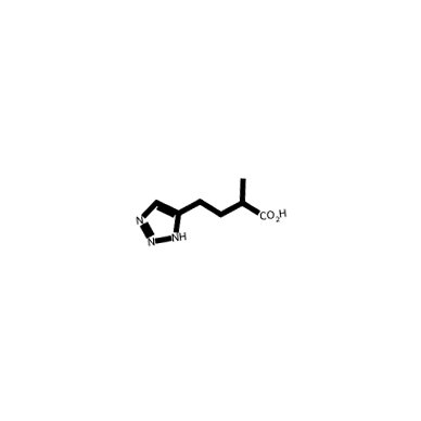 CC(CCc1cnn[nH]1)C(=O)O